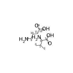 CC(C)C(N)C(=O)O.NCCCC(=O)O